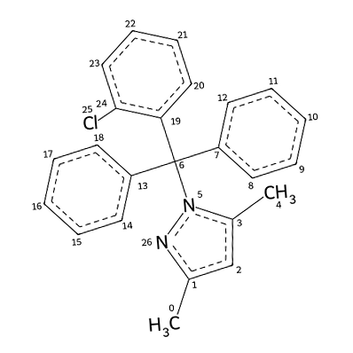 Cc1cc(C)n(C(c2ccccc2)(c2ccccc2)c2ccccc2Cl)n1